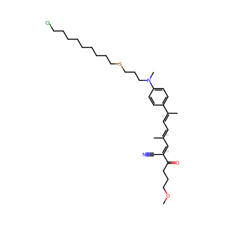 COCCCC(=O)/C(C#N)=C/C(C)=C/C=C(\C)c1ccc(N(C)CCCSCCCCCCCCCCl)cc1